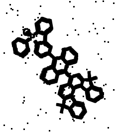 CC1(C)c2ccccc2-c2c1ccc1c(-c3c4ccccc4c(-c4ccc5c(c4)-c4ccccc4P5(=O)c4ccccc4)c4ccccc34)cc3c(c21)-c1ccccc1C3(C)C